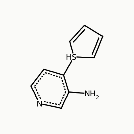 Nc1cnccc1[SH]1C=CC=C1